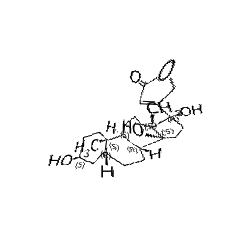 C[C@]12CC[C@H](O)C[C@H]1CC[C@@H]1[C@@H]2CC[C@]2(C)[C@](O)(C3=CC(=O)OC3)CC[C@]12O